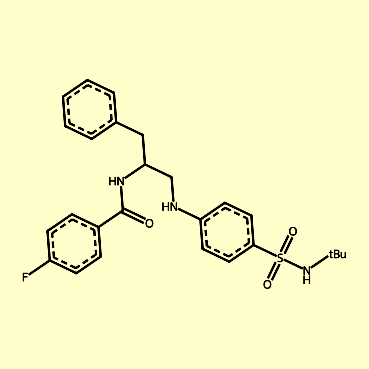 CC(C)(C)NS(=O)(=O)c1ccc(NCC(Cc2ccccc2)NC(=O)c2ccc(F)cc2)cc1